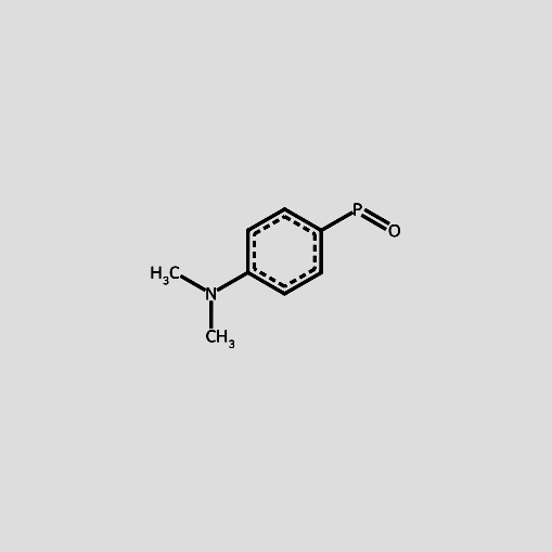 CN(C)c1ccc(P=O)cc1